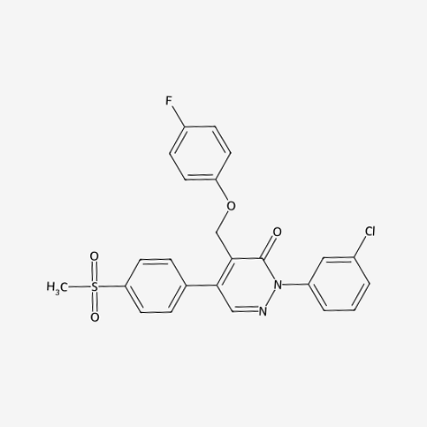 CS(=O)(=O)c1ccc(-c2cnn(-c3cccc(Cl)c3)c(=O)c2COc2ccc(F)cc2)cc1